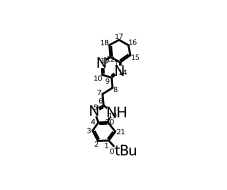 CC(C)(C)c1ccc2nc(CCc3cnc4c(n3)=CCCC=4)[nH]c2c1